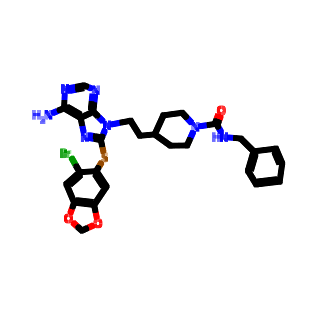 Nc1ncnc2c1nc(Sc1cc3c(cc1Br)OCO3)n2CCC1CCN(C(=O)NCc2ccccc2)CC1